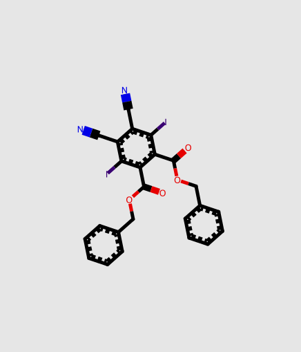 N#Cc1c(I)c(C(=O)OCc2ccccc2)c(C(=O)OCc2ccccc2)c(I)c1C#N